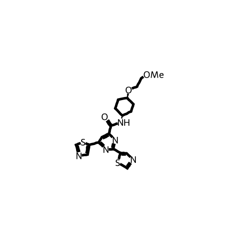 COCCO[C@H]1CC[C@H](NC(=O)c2cc(-c3cncs3)nc(-c3cncs3)n2)CC1